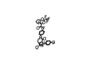 COc1ccc(-n2nc(OC)c3c2C(=O)N(c2ccc(N(C)C(=O)C(OC(=O)C(F)(F)F)N4CCCC4)cc2)CC3)cc1